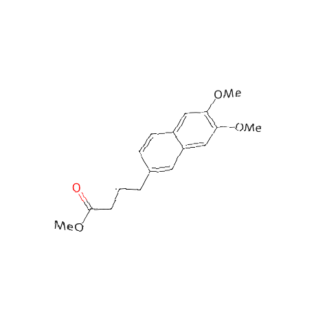 COC(=O)C[CH]Cc1ccc2cc(OC)c(OC)cc2c1